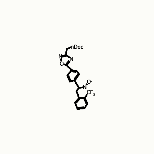 CCCCCCCCCCCc1noc(-c2ccc(C(Cc3ccccc3C(F)(F)F)[N][O])cc2)n1